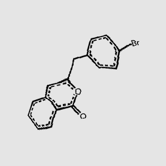 O=c1oc(Cc2ccc(Br)cc2)cc2ccccc12